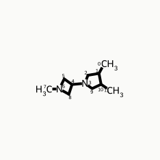 CC1CN(C2CN(C)C2)CC1C